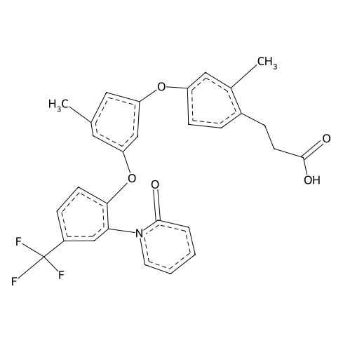 Cc1cc(Oc2ccc(CCC(=O)O)c(C)c2)cc(Oc2ccc(C(F)(F)F)cc2-n2ccccc2=O)c1